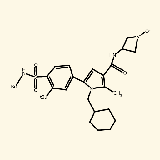 Cc1c(C(=O)NC2C[S+]([O-])C2)cc(-c2ccc(S(=O)(=O)NC(C)(C)C)c(C(C)(C)C)c2)n1CC1CCCCC1